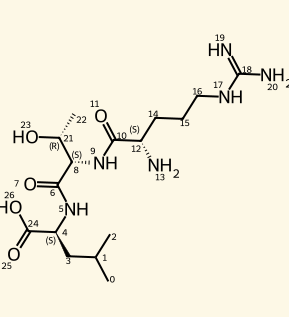 CC(C)C[C@H](NC(=O)[C@@H](NC(=O)[C@@H](N)CCCNC(=N)N)[C@@H](C)O)C(=O)O